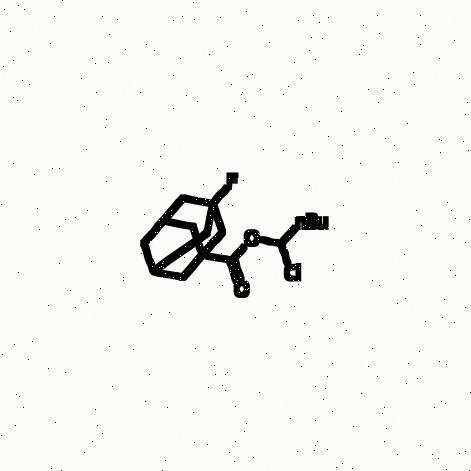 CCCCC(Cl)OC(=O)C12CC3CC(CC(F)(C3)C1)C2